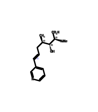 CN[C@H](C(=O)O)[C@H](O)[C@H](C)C/C=C/c1cccnc1